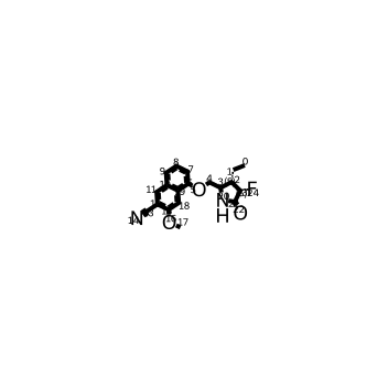 CC[C@H]1C(COc2cccc3cc(C#N)c(OC)cc23)NC(=O)[C@H]1F